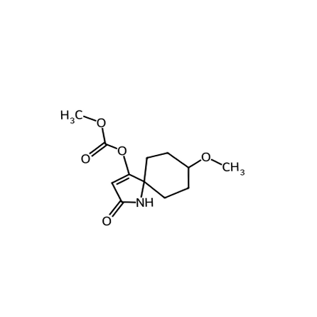 COC(=O)OC1=CC(=O)NC12CCC(OC)CC2